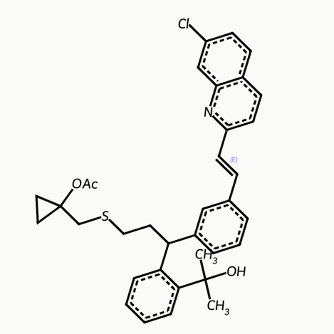 CC(=O)OC1(CSCCC(c2cccc(/C=C/c3ccc4ccc(Cl)cc4n3)c2)c2ccccc2C(C)(C)O)CC1